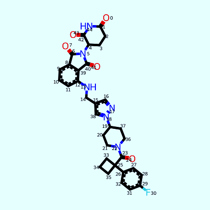 O=C1CCC(N2C(=O)c3cccc(NCc4cnn(C5CCN(C(=O)C6(c7ccc(F)cc7)CCC6)CC5)c4)c3C2=O)C(=O)N1